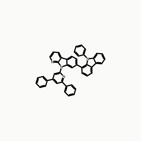 c1ccc(-c2cc(-c3ccccc3)nc(-n3c4cc(-c5cccc6c7ccccc7n(-c7ccccc7)c56)ccc4c4cccnc43)c2)cc1